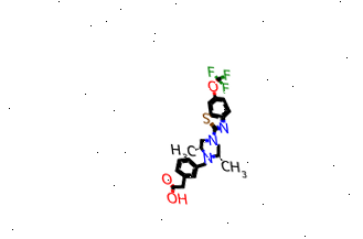 C[C@@H]1CN(c2nc3ccc(OC(F)(F)F)cc3s2)C[C@H](C)N1Cc1cccc(CC(=O)O)c1